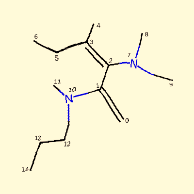 C=C(C(=C(C)CC)N(C)C)N(C)CCC